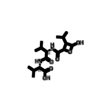 CC(C)C1C(O)OC1C(=O)N[C@H](C(=O)N[C@H](C(=O)O)C(C)C)C(C)C